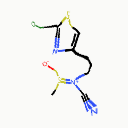 CS([O-])=[N+](C#N)Cc1csc(Cl)n1